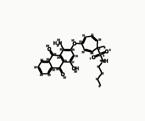 CCCCNS(=O)(=O)C1(C)C=CC=C(Oc2cc(O)c3c(c2N)C(=O)c2ccccc2C3=O)C=C1